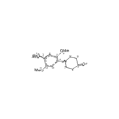 COc1cc(OC)c(N2CCC(=O)CC2)cc1OC